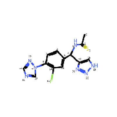 CC(=S)NC(c1ccc(-n2cncn2)c(F)c1)c1c[nH]nn1